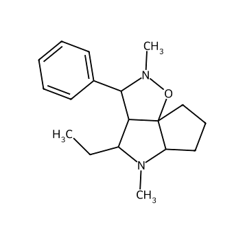 CCC1C2C(c3ccccc3)N(C)OC23CCCC3N1C